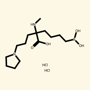 CNC(CCCCB(O)O)(CCCN1CCCC1)C(=O)O.Cl.Cl